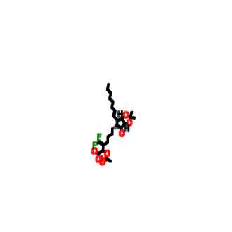 CCCCCCC=C[C@H]1[C@@H]2OC(C)(C)O[C@@H]2C(=O)[C@@H]1CCCCC(=C(F)F)C(OC(C)=O)C(=O)O